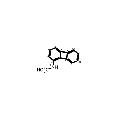 O=C(O)Nc1cccc2c1-c1ccccc1-2